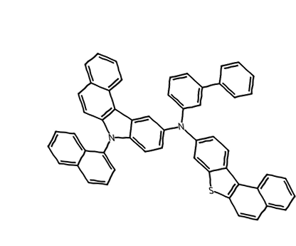 c1ccc(-c2cccc(N(c3ccc4c(c3)sc3ccc5ccccc5c34)c3ccc4c(c3)c3c5ccccc5ccc3n4-c3cccc4ccccc34)c2)cc1